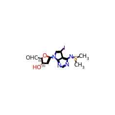 CS(C)=Nc1ncnc2c1c(I)cn2C1=C[C@H](O)[C@@H](C=O)O1